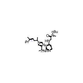 CCCCN(C)C(=O)CNc1ccnc(N[C@@H](C)c2cn(C(C)C/C=C(/C)C(C)C)cn2)n1